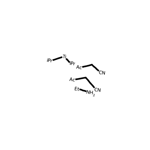 CC(=O)CC#N.CC(=O)CC#N.CCN.C[CH](C)[Ti][CH](C)C